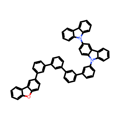 c1cc(-c2cccc(-c3cccc(-n4c5ccccc5c5cc(-n6c7ccccc7c7ccccc76)ccc54)c3)c2)cc(-c2cccc(-c3ccc4oc5ccccc5c4c3)c2)c1